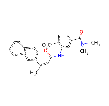 C/C(=C/C(=O)Nc1cc(C(=O)N(C)C)ccc1C(=O)O)c1ccc2ccccc2c1